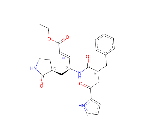 CCOC(=O)/C=C/[C@H](C[C@@H]1CCNC1=O)NC(=O)[C@@H](CC(=O)c1ccc[nH]1)Cc1ccccc1